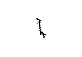 CCCCC(CC)COC(=O)CCCCCCCCCCC(CC)C(=O)OCC(CC)CCCC